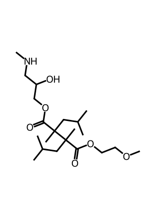 CNCC(O)COC(=O)C(C)(CC(C)C)C(C)(CC(C)C)C(=O)OCCOC